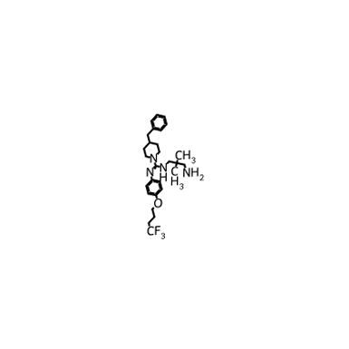 CC(C)(CN)CN/C(=N\c1ccc(OCCCC(F)(F)F)cc1)N1CCC(Cc2ccccc2)CC1